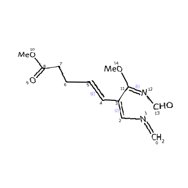 C=N/C=C(/C=C/CCC(=O)OC)C(=N/C=O)\OC